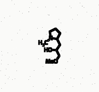 COCC(O)CC1CCCN1C